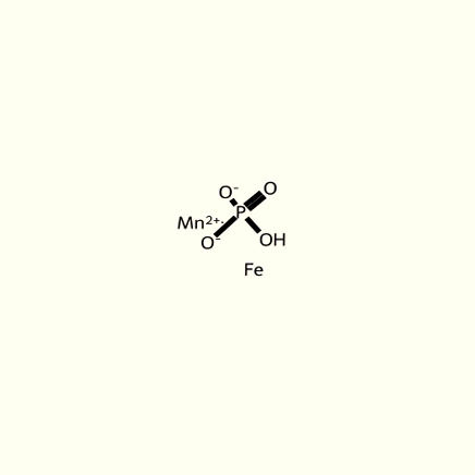 O=P([O-])([O-])O.[Fe].[Mn+2]